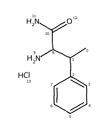 CC(c1ccccc1)C(N)C(N)=O.Cl